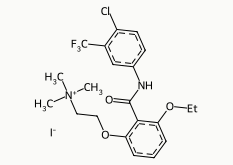 CCOc1cccc(OCC[N+](C)(C)C)c1C(=O)Nc1ccc(Cl)c(C(F)(F)F)c1.[I-]